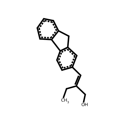 CC/C(=C\c1ccc2c(c1)Cc1ccccc1-2)CO